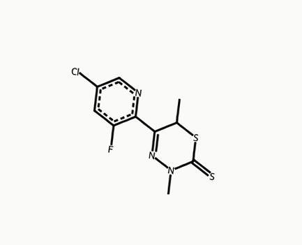 CC1SC(=S)N(C)N=C1c1ncc(Cl)cc1F